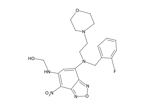 O=[N+]([O-])c1c(NCO)cc(N(CCN2CCOCC2)Cc2ccccc2F)c2nonc12